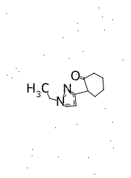 CCn1ccc(C2CCCCC2=O)n1